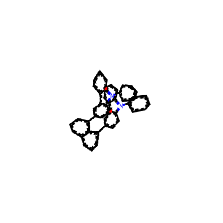 c1ccc(-n2c3ccccc3c3cc(-c4cccc5cccc(-c6ccc7c(c6)c6ccccc6n7-c6ccccc6)c45)ccc32)cc1